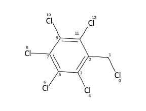 ClCc1c(Cl)c(Cl)c(Cl)c(Cl)c1Cl